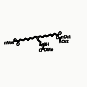 CCCCCCCCCOC(=O)CCCCCCCN(CCCCCCCC(=O)OC(CCCCCCCC)CCCCCCCC)CCCN(O)C(=O)OC